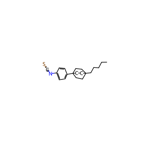 CCCCCC12CCC(c3ccc(N=C=S)cc3)(CC1)CC2